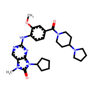 COc1cc(C(=O)N2CCC(N3CCCC3)CC2)ccc1Nc1ncc2c(n1)n(C1CCCC1)c(=O)n2C